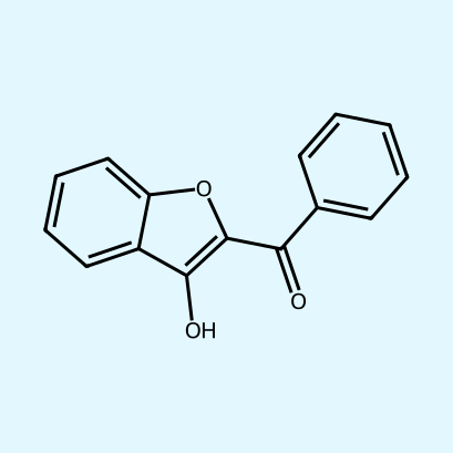 O=C(c1ccccc1)c1oc2ccccc2c1O